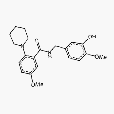 COc1ccc(N2CCCCC2)c(C(=O)NCc2ccc(OC)c(O)c2)c1